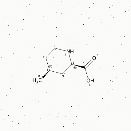 C[C@H]1CCN[C@@H](C(=O)O)C1